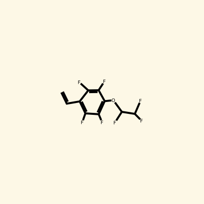 C=Cc1c(F)c(F)c(OC(F)C(F)F)c(F)c1F